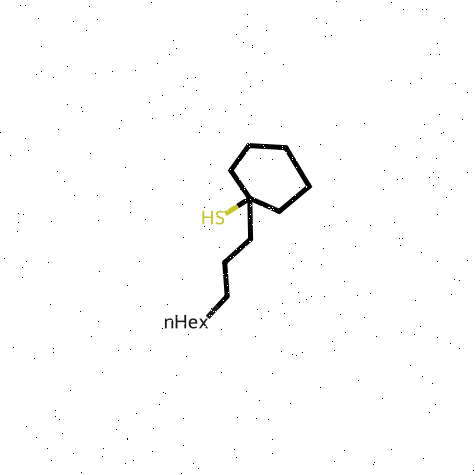 CCCCCCCCCC1(S)CCCCC1